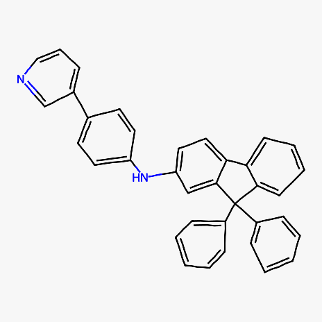 c1ccc(C2(c3ccccc3)c3ccccc3-c3ccc(Nc4ccc(-c5cccnc5)cc4)cc32)cc1